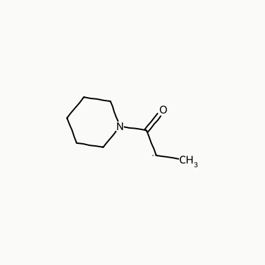 C[CH]C(=O)N1CCCCC1